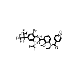 CCN(C(=O)c1cc[n+]([O-])cc1)c1cccc(C(=O)Nc2c(Br)cc(C(F)(C(F)(F)F)C(F)(F)F)cc2OC(F)F)c1OC